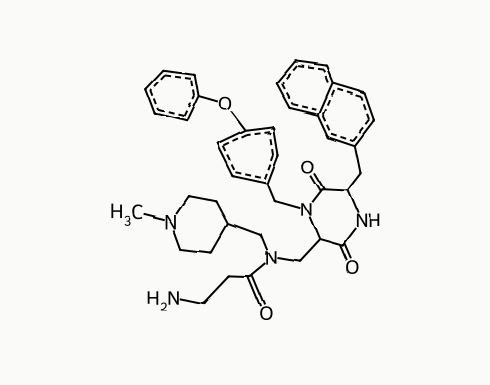 CN1CCC(CN(CC2C(=O)NC(Cc3ccc4ccccc4c3)C(=O)N2Cc2ccc(Oc3ccccc3)cc2)C(=O)CCN)CC1